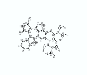 COC(Cc1ccc2c(C3=C(c4c[nH]c5ccccc45)C(=O)NC3=O)c[nH]c2c1CC(OC)C(OC)N(C)C)C(OC)N(C)C